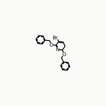 BrC1=CCC(OCc2ccccc2)N=C1OCc1ccccc1